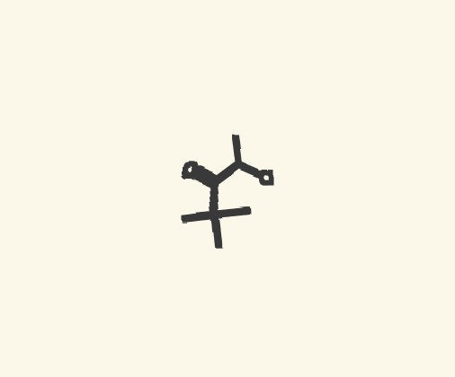 CC(Cl)C(=O)C(C)(C)C